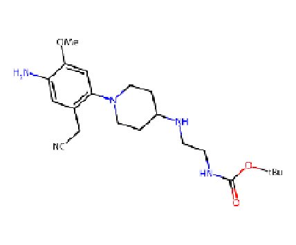 COc1cc(N2CCC(NCCNC(=O)OC(C)(C)C)CC2)c(CC#N)cc1N